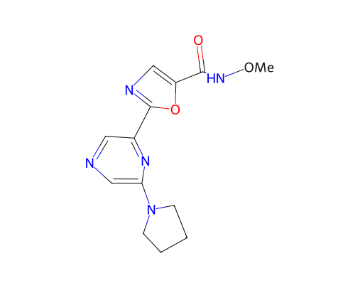 CONC(=O)c1cnc(-c2cncc(N3CCCC3)n2)o1